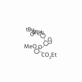 CCOC(=O)Cc1cccc(OC)c1OCc1cc(-c2ccnc(CN[S@+]([O-])C(C)(C)C)c2)c2occc2c1